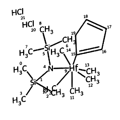 C[Si](C)(C)[N]([Si](C)(C)C)[Hf]([CH3])([CH3])([CH3])([CH3])([CH3])[C]1=CC=CC1.Cl.Cl